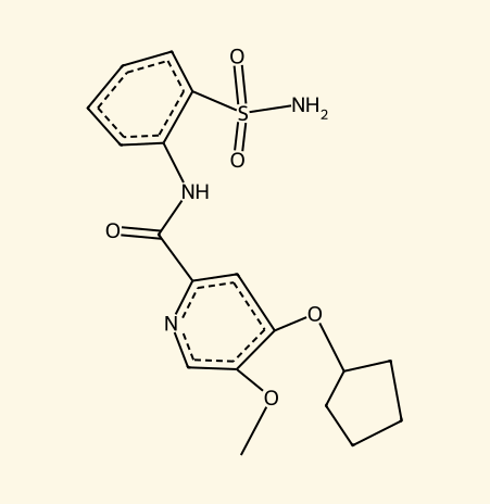 COc1cnc(C(=O)Nc2ccccc2S(N)(=O)=O)cc1OC1CCCC1